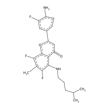 Cc1c(F)c(NCCCC(C)C)c2c(=O)cc(-c3ccc(N)c(F)c3)oc2c1F